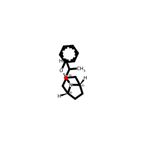 CC(C)ON1[C@@H]2CC[C@H]1C[C@@H](Oc1ccccc1)C2